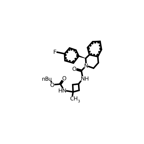 CCCCOC(=O)NC1(C)CC(NC(=O)N2CCc3ccccc3[C@@H]2c2ccc(F)cc2)C1